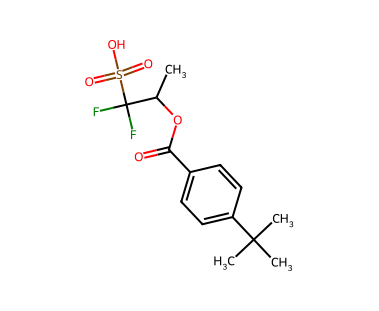 CC(OC(=O)c1ccc(C(C)(C)C)cc1)C(F)(F)S(=O)(=O)O